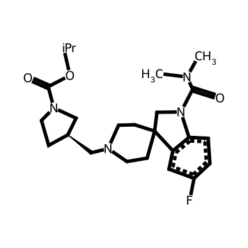 CC(C)OC(=O)N1CC[C@H](CN2CCC3(CC2)CN(C(=O)N(C)C)c2ccc(F)cc23)C1